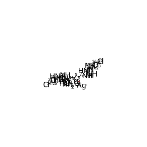 CC(=O)O.CC(=O)O.N=C(NCCCCCCNC(=N)NC(=N)Nc1ccc(Cl)cc1)NC(=N)Nc1ccc(Cl)cc1.[Ag]